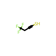 FC(F)(F)CC#CS